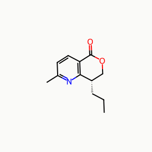 CCC[C@H]1COC(=O)c2ccc(C)nc21